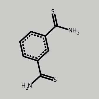 NC(=S)c1cccc(C(N)=S)c1